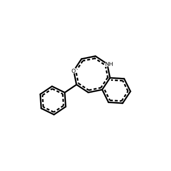 c1ccc(-c2cc3ccccc3[nH]cco2)cc1